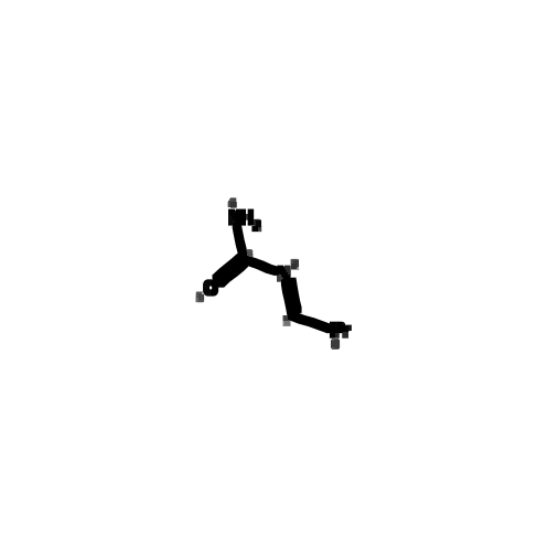 CC(C)C=NC(N)=O